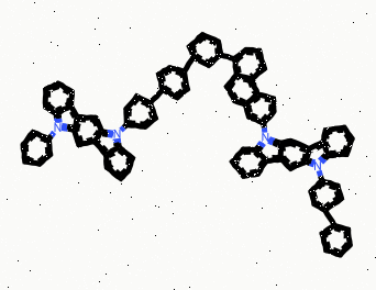 c1ccc(-c2ccc(-n3c4ccccc4c4cc5c(cc43)c3ccccc3n5-c3ccc4c(ccc5c(-c6cccc(-c7ccc(-c8ccc(-n9c%10ccccc%10c%10cc%11c(cc%109)c9ccccc9n%11-c9ccccc9)cc8)cc7)c6)cccc54)c3)cc2)cc1